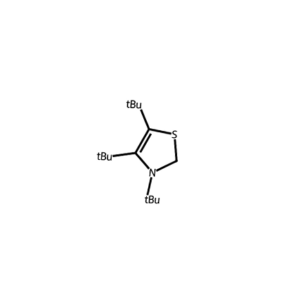 CC(C)(C)C1=C(C(C)(C)C)N(C(C)(C)C)CS1